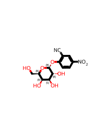 N#Cc1cc([N+](=O)[O-])ccc1O[C@H]1O[C@H](CO)[C@H](O)[C@H](O)[C@H]1O